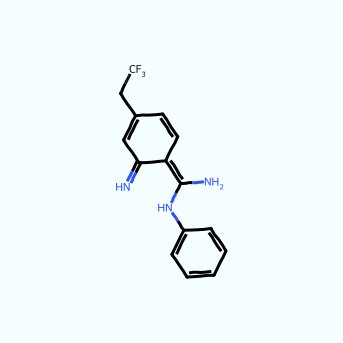 N=C1C=C(CC(F)(F)F)C=C/C1=C(\N)Nc1ccccc1